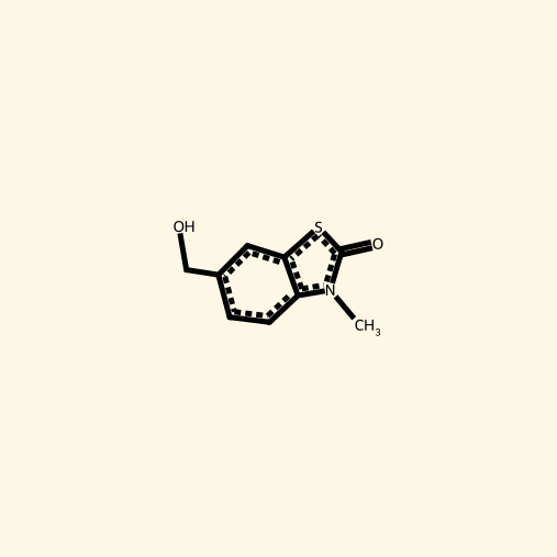 Cn1c(=O)sc2cc(CO)ccc21